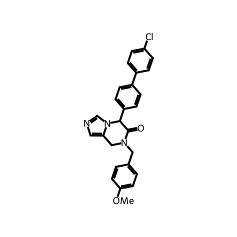 COc1ccc(CN2Cc3cncn3C(c3ccc(-c4ccc(Cl)cc4)cc3)C2=O)cc1